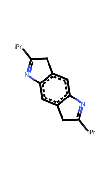 CC(C)C1=Nc2cc3c(cc2C1)N=C(C(C)C)C3